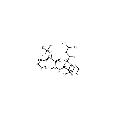 CC(C)C[C@@H](O)C(=O)N1C2CCC(CC2)[C@@H]1C(=O)N[C@@H](C[C@@H]1CCNC1=O)C(=O)COC(F)(F)F